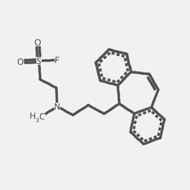 CN(CCCC1c2ccccc2C=Cc2ccccc21)CCS(=O)(=O)F